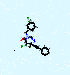 CC1(C#Cc2ccccc2)N=CN(Cc2cccc(F)c2)C(=O)C1Br